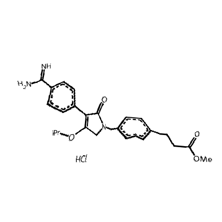 COC(=O)CCc1ccc(N2CC(OC(C)C)=C(c3ccc(C(=N)N)cc3)C2=O)cc1.Cl